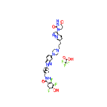 O=C(O)C(F)(F)F.O=C1CCN(c2cnn3cc(CCCN4CCN(c5ccc6cn(C78CCC(CNC(=O)c9cc(F)c(O)c(F)c9F)(CC7)CC8)nc6c5)CC4)ccc23)C(=O)N1